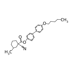 CCCCCOc1ccc(-c2ccc(OC(=O)C3(C#N)CCCC(C)C3)cc2)cc1